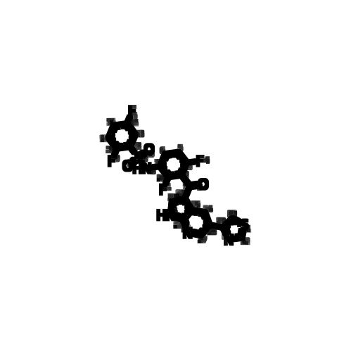 O=C(c1c(F)ccc(NS(=O)(=O)c2cc(F)ccc2F)c1F)c1c[nH]c2ncc(-c3cscn3)cc12